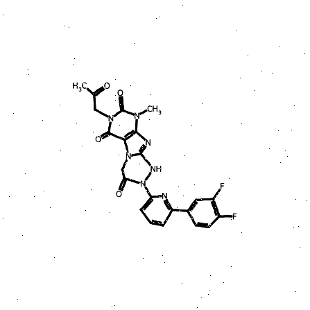 CC(=O)Cn1c(=O)c2c(nc3n2CC(=O)N(c2cccc(-c4ccc(F)c(F)c4)n2)N3)n(C)c1=O